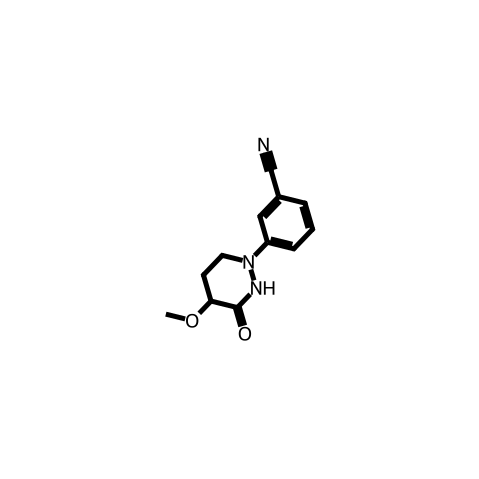 COC1CCN(c2cccc(C#N)c2)NC1=O